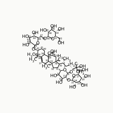 C[C@H](CC[C@@H](O[C@@H]1OC[C@@H](O)[C@H](O)[C@H]1O[C@H]1O[C@@H](CO)[C@H](O)[C@@H](O)[C@@H]1O)C(C)(C)O)C1CC[C@@]2(C)C3CC=C4C(CC[C@H](O[C@@H]5O[C@H](CO[C@@H]6O[C@H](CO)[C@@H](O)[C@H](O)[C@H]6O)[C@@H](O)[C@H](O)[C@H]5O)C4(C)C)[C@]3(C)[C@H](O)C[C@]12C